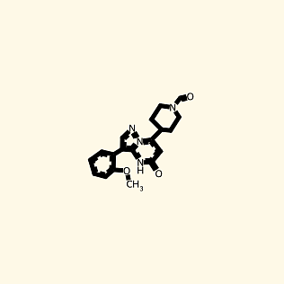 COc1ccccc1-c1cnn2c(C3CCN(C=O)CC3)cc(=O)[nH]c12